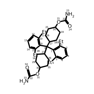 CCc1cccc(CC)c1C(c1c(CC)cccc1CC)(C1CCC(OC(N)=O)CC1)C1CCC(OC(N)=O)CC1